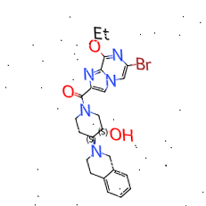 CCOc1nc(Br)cn2cc(C(=O)N3CC[C@H](N4CCc5ccccc5C4)[C@@H](O)C3)nc12